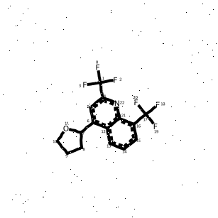 FC(F)(F)c1cc(C2CCCO2)c2cccc(C(F)(F)F)c2n1